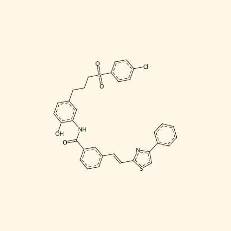 O=C(Nc1cc(CCCS(=O)(=O)c2ccc(Cl)cc2)ccc1O)c1cccc(/C=C/c2nc(-c3ccccc3)cs2)c1